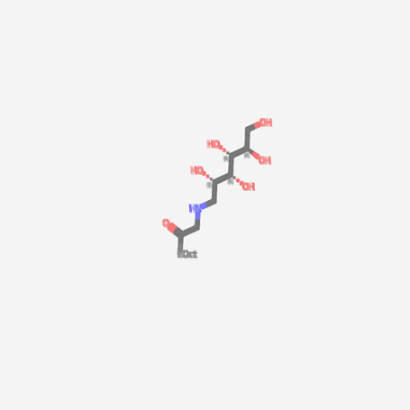 CCCCCCCCC(=O)CNC[C@H](O)[C@@H](O)[C@H](O)[C@H](O)CO